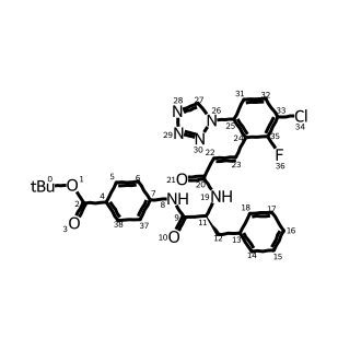 CC(C)(C)OC(=O)c1ccc(NC(=O)[C@H](Cc2ccccc2)NC(=O)/C=C/c2c(-n3cnnn3)ccc(Cl)c2F)cc1